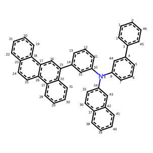 c1ccc(-c2cccc(N(c3cccc(-c4cc5c6ccccc6ccc5c5ccccc45)c3)c3ccc4ccccc4c3)c2)cc1